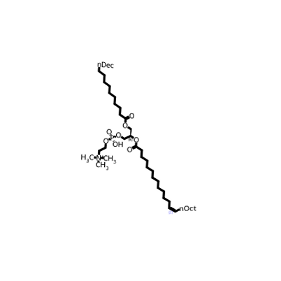 CCCCCCCC/C=C\CCCCCCCCCCCC(=O)O[C@H](COC(=O)CCCCCCCCCCCCCCCCCCC)COP(=O)(O)OCC[N+](C)(C)C